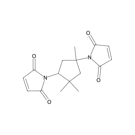 CC1(C)CC(C)(N2C(=O)C=CC2=O)CC1N1C(=O)C=CC1=O